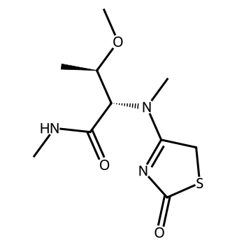 CNC(=O)[C@H]([C@@H](C)OC)N(C)C1=NC(=O)SC1